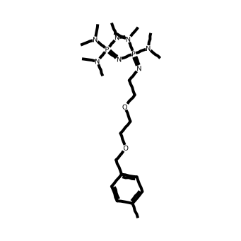 Cc1ccc(COCCOCCN=P(N=P(N(C)C)(N(C)C)N(C)C)(N(C)C)N(C)C)cc1